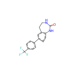 O=C1NCCc2cc(-c3ccc(C(F)(F)F)cc3)ccc2N1